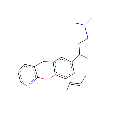 CC(=O)C(CCN(C)C)c1ccc2c(c1)Cc1cccnc1O2.O=C(O)C=CC(=O)O